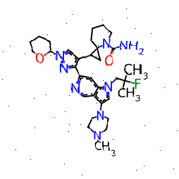 CN1CCN(c2cn(CC(C)(C)F)c3cc(-c4nn(C5CCCCO5)cc4C4CC45CCCCN5C(N)=O)ncc23)CC1